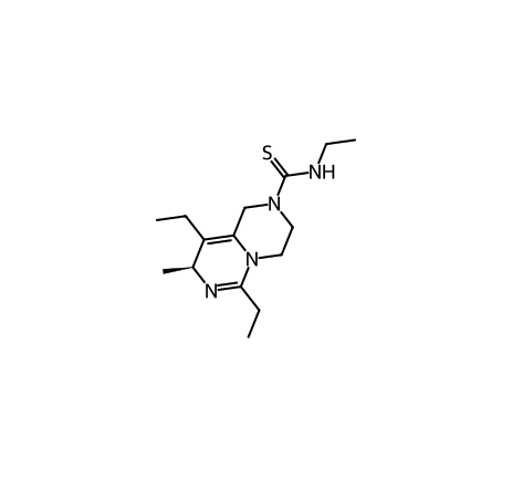 CCNC(=S)N1CCN2C(CC)=N[C@@H](C)C(CC)=C2C1